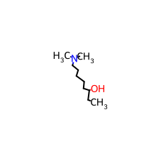 CCC(O)CCCCCN(C)C